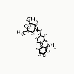 C[C@@H]1CN(CC2CCN(c3ccccc3N)CC2)C[C@H](C)O1